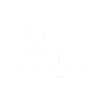 C=C(C(=O)c1ccccc1)C(c1ccccc1)C(CN)C(=O)c1ccccc1